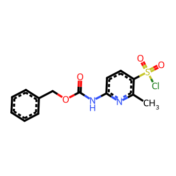 Cc1nc(NC(=O)OCc2ccccc2)ccc1S(=O)(=O)Cl